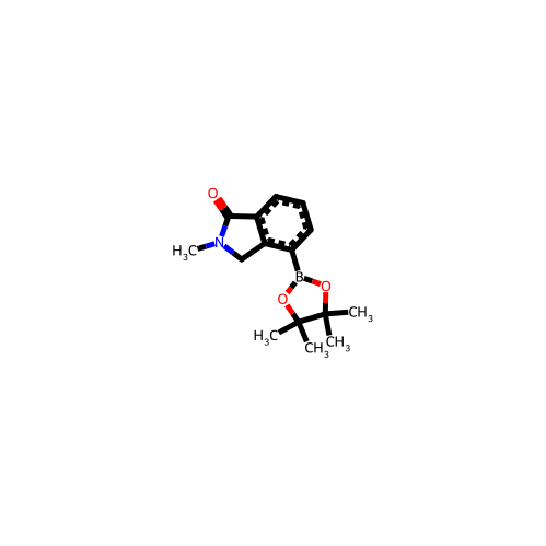 CN1Cc2c(B3OC(C)(C)C(C)(C)O3)cccc2C1=O